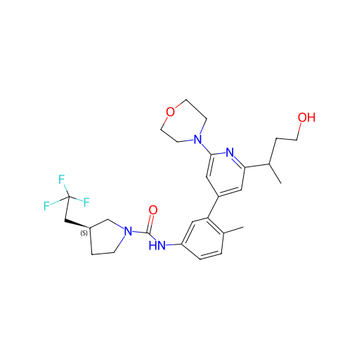 Cc1ccc(NC(=O)N2CC[C@@H](CC(F)(F)F)C2)cc1-c1cc(C(C)CCO)nc(N2CCOCC2)c1